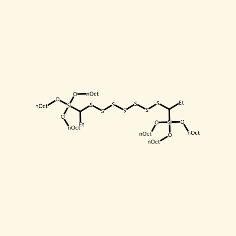 CCCCCCCCO[Si](OCCCCCCCC)(OCCCCCCCC)C(CC)SSSSSSSC(CC)[Si](OCCCCCCCC)(OCCCCCCCC)OCCCCCCCC